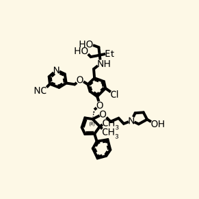 CCC(CO)(CO)NCc1cc(Cl)c(OC[C@@]2(OCCCN3CCC(O)C3)C=CC=C(c3ccccc3)C2(C)C)cc1OCc1cncc(C#N)c1